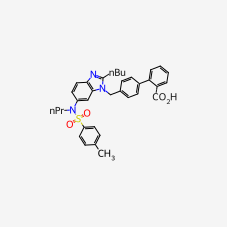 CCCCc1nc2ccc(N(CCC)S(=O)(=O)c3ccc(C)cc3)cc2n1Cc1ccc(-c2ccccc2C(=O)O)cc1